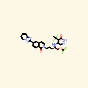 CC(F)(F)c1c(N[C@H](CCCn2ccc3cc(-c4nc5ccccn5n4)ccc3c2=O)COC(F)F)cn[nH]c1=O